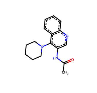 CC(=O)Nc1cnc2ccccc2c1N1CCCCC1